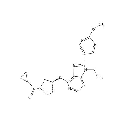 CCn1c(-c2cnc(OC)nc2)nc2c(O[C@H]3CCN(C(=O)C4CC4)C3)ncnc21